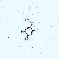 Cc1cc(=O)[nH]cc1OC(C)C